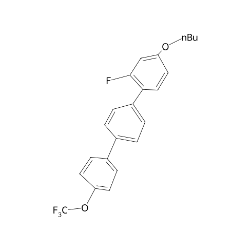 CCCCOc1ccc(-c2ccc(-c3ccc(OC(F)(F)F)cc3)cc2)c(F)c1